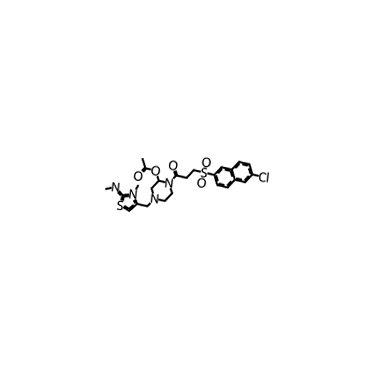 C/N=c1\scc(CN2CCN(C(=O)CCS(=O)(=O)c3ccc4cc(Cl)ccc4c3)C(OC(C)=O)C2)n1C